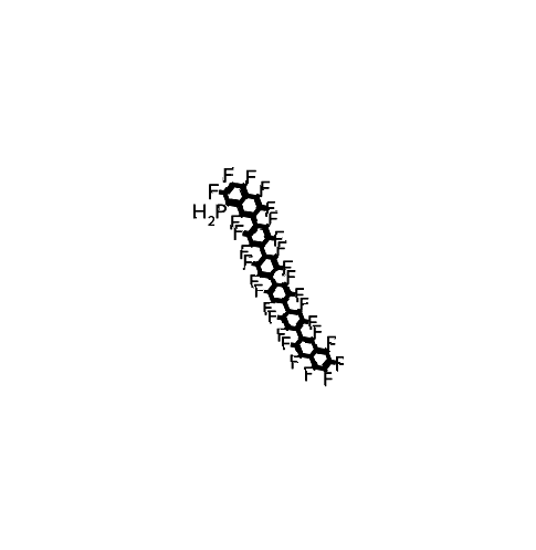 Fc1c(F)c(-c2c(F)c(F)c(-c3c(F)c(F)c4c(F)c(F)c(F)c(F)c4c3F)c(F)c2F)c(F)c(F)c1-c1c(F)c(F)c(-c2c(F)c(F)c(-c3c(F)c(F)c4c(F)c(F)c(F)c(P)c4c3F)c(F)c2F)c(F)c1F